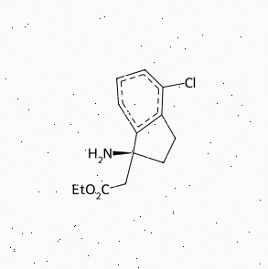 CCOC(=O)C[C@@]1(N)CCc2c(Cl)cccc21